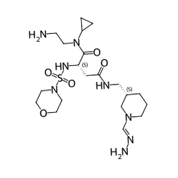 NCCN(C(=O)[C@H](CC(=O)NC[C@@H]1CCCN(C=NN)C1)NS(=O)(=O)N1CCOCC1)C1CC1